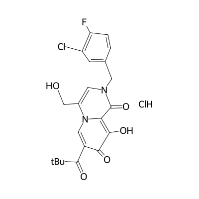 CC(C)(C)C(=O)c1cn2c(CO)cn(Cc3ccc(F)c(Cl)c3)c(=O)c2c(O)c1=O.Cl